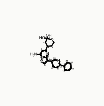 Nc1cc(C2CCSC(O)(O)C2)nc2c(-c3ccc(-c4ccccc4)nc3)cnn12